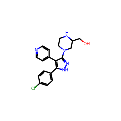 OCC1CN(c2n[nH]c(-c3ccc(Cl)cc3)c2-c2ccncc2)CCN1